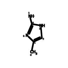 Cc1c[nH]c([NH])n1